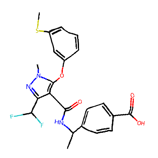 CSc1cccc(Oc2c(C(=O)NC(C)c3ccc(C(=O)O)cc3)c(C(F)F)nn2C)c1